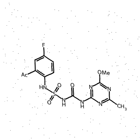 COc1nc(C)nc(NC(=O)NS(=O)(=O)Nc2ccc(F)cc2C(C)=O)n1